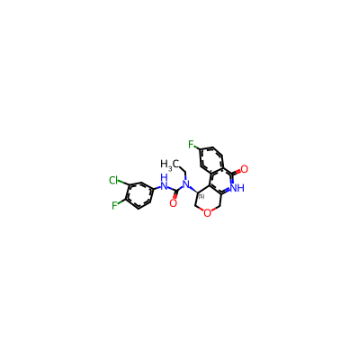 CCN(C(=O)Nc1ccc(F)c(Cl)c1)[C@@H]1COCc2[nH]c(=O)c3ccc(F)cc3c21